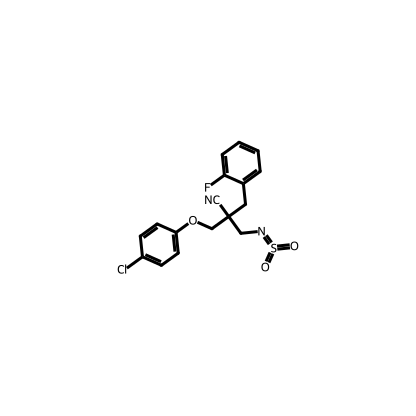 N#CC(CN=S(=O)=O)(COc1ccc(Cl)cc1)Cc1ccccc1F